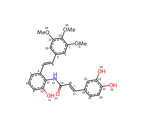 COc1cc(C=Cc2cccc(O)c2NC(=O)/C=C/c2ccc(O)c(O)c2)cc(OC)c1OC